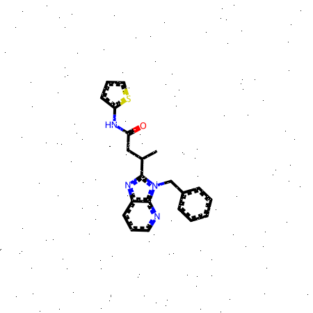 CC(CC(=O)Nc1cccs1)c1nc2cccnc2n1Cc1ccccc1